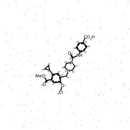 CCOc1cc(C(=O)OC)c(C2CC2)cc1CN1CCN(C(=O)Nc2ccc(C(=O)O)cc2)CC1